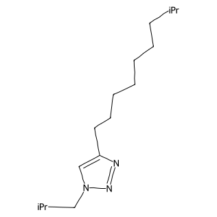 CC(C)CCCCCCCc1cn(CC(C)C)nn1